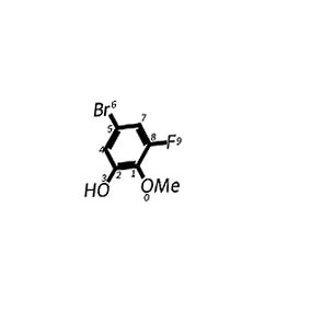 COc1c(O)cc(Br)cc1F